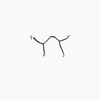 F[C](F)CC(F)F